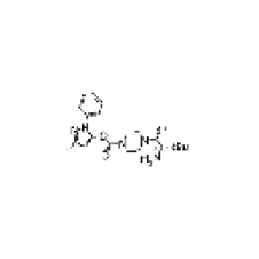 Cc1cc(OC(=O)N2CCN(C(=O)[C@@H](N)C(C)(C)C)CC2)n(-c2ccccc2)n1